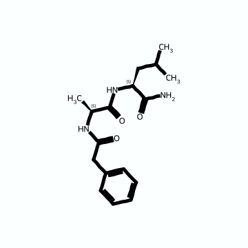 CC(C)C[C@H](NC(=O)[C@H](C)NC(=O)Cc1ccccc1)C(N)=O